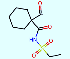 CCS(=O)(=O)NC(=O)C1([C]=O)CCCCC1